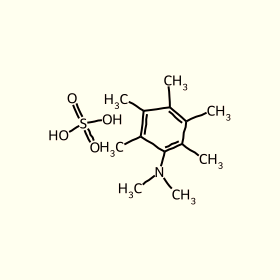 Cc1c(C)c(C)c(N(C)C)c(C)c1C.O=S(=O)(O)O